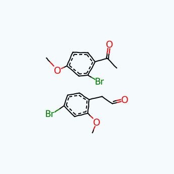 COc1cc(Br)ccc1CC=O.COc1ccc(C(C)=O)c(Br)c1